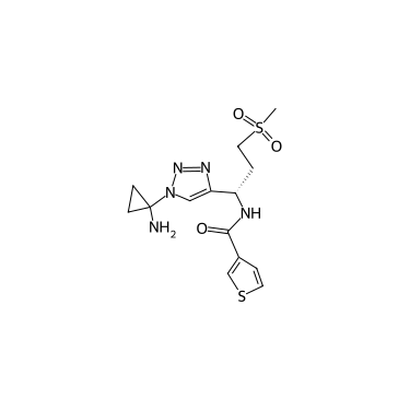 CS(=O)(=O)CC[C@H](NC(=O)c1ccsc1)c1cn(C2(N)CC2)nn1